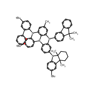 Cc1cc2c3c(c1)N(c1ccc(C(C)(C)C)cc1-c1ccccc1)c1cc(C(C)(C)C)ccc1B3c1ccc(N3c4ccc(C(C)(C)C)cc4C4(C)CCCCC34C)cc1N2c1ccc2c(c1)-c1ccccc1C2(C)C